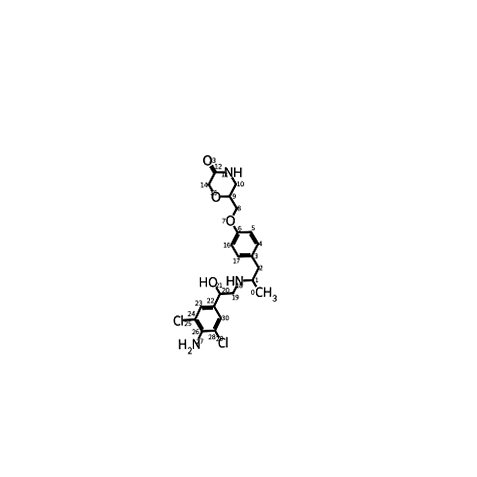 CC(Cc1ccc(OCC2CNC(=O)CO2)cc1)NCC(O)c1cc(Cl)c(N)c(Cl)c1